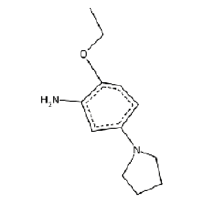 CCOc1ccc(N2CCCC2)cc1N